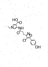 CCn1cc(NC(=O)CCc2noc(-c3ccc(O)cc3)c2Cl)c(C(=O)O)c1